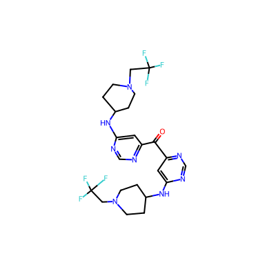 O=C(c1cc(NC2CCN(CC(F)(F)F)CC2)ncn1)c1cc(NC2CCN(CC(F)(F)F)CC2)ncn1